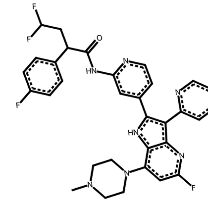 CN1CCN(c2cc(F)nc3c(-c4ccccn4)c(-c4ccnc(NC(=O)C(CC(F)F)c5ccc(F)cc5)c4)[nH]c23)CC1